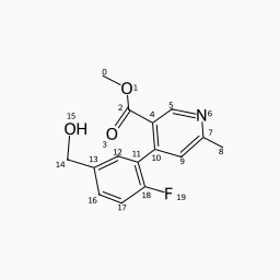 COC(=O)c1cnc(C)cc1-c1cc(CO)ccc1F